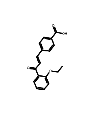 CCOc1ccccc1C(=O)C=Cc1ccc(C(=O)O)cc1